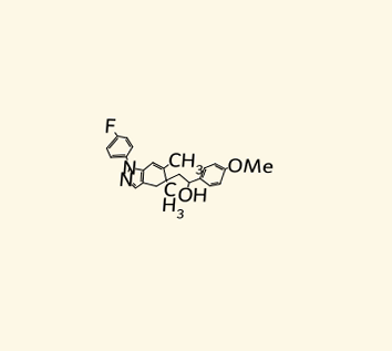 COc1ccc(C(O)CC2(C)Cc3cnn(-c4ccc(F)cc4)c3C=C2C)cc1